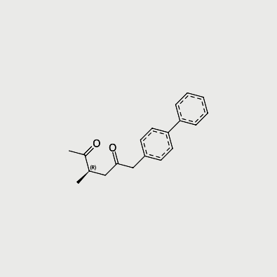 CC(=O)[C@H](C)CC(=O)Cc1ccc(-c2ccccc2)cc1